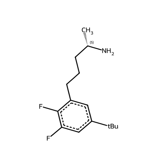 C[C@H](N)CCCc1cc(C(C)(C)C)cc(F)c1F